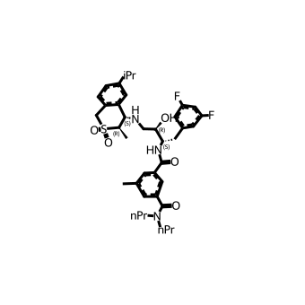 CCCN(CCC)C(=O)c1cc(C)cc(C(=O)N[C@@H](Cc2cc(F)cc(F)c2)[C@H](O)CN[C@H]2c3cc(C(C)C)ccc3CS(=O)(=O)[C@@H]2C)c1